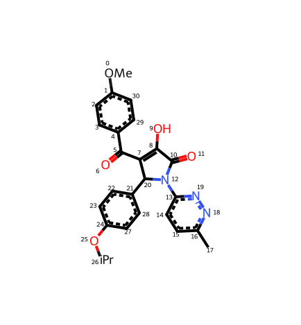 COc1ccc(C(=O)C2=C(O)C(=O)N(c3ccc(C)nn3)C2c2ccc(OC(C)C)cc2)cc1